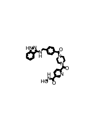 O=C(NO)c1ccc(C(=O)N2CCN(C(=O)c3ccc(CNc4n[nH]c5ccccc45)cc3)CC2)nc1